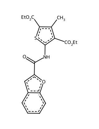 CCOC(=O)c1sc(NC(=O)c2cc3ccccc3o2)c(C(=O)OCC)c1C